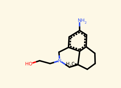 CC12CCCc3cc(N)cc(c31)CN(CCO)C2